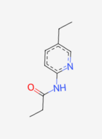 CCC(=O)Nc1ccc(CC)cn1